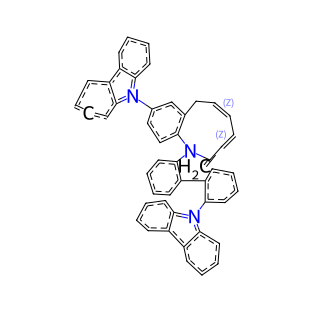 C=C1/C=C\C=C/Cc2cc(-n3c4ccccc4c4ccccc43)ccc2N1c1ccccc1-c1ccccc1-n1c2ccccc2c2ccccc21